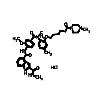 CNC(=O)c1cc2c(C(=O)Nc3ccc(C(=O)N(C)c4ccc(C)cc4OCCCCCC(=O)N4CCN(C)CC4)cc3OC)cccc2[nH]1.Cl